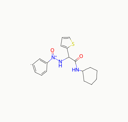 O=C(NC1CCCCC1)C(N[N+](=O)c1c[c]ccc1)c1cccs1